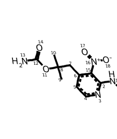 CNc1nccc(CC(C)(C)OC(N)=O)c1[N+](=O)[O-]